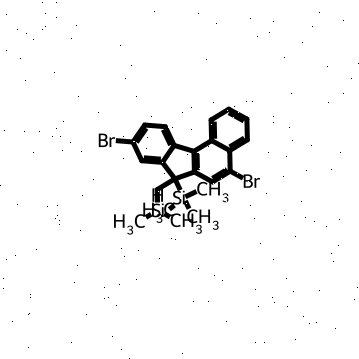 C[SiH](C)CC1([Si](C)(C)C)c2cc(Br)ccc2-c2c1cc(Br)c1ccccc21